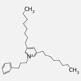 CCCCCCCCc1cc(CCCCCCCC)c[n+](CCCc2ccccc2)c1